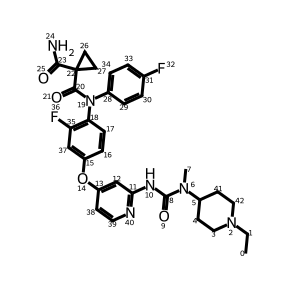 CCN1CCC(N(C)C(=O)Nc2cc(Oc3ccc(N(C(=O)C4(C(N)=O)CC4)c4ccc(F)cc4)c(F)c3)ccn2)CC1